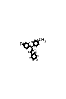 Cc1ccc(C(c2ccc(F)cc2)c2cc3ccccc3o2)cc1